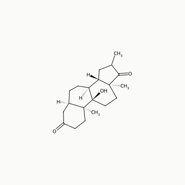 CC1C[C@H]2[C@@H]3CC[C@@H]4CC(=O)CC[C@]4(C)[C@@]3(O)CC[C@]2(C)C1=O